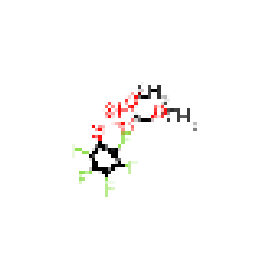 COCC(OC)OB(O)Oc1c(F)c(F)c(F)c(F)c1F